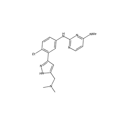 CCc1ccc(Nc2nccc(NC)n2)cc1-c1cc(CN(C)C)[nH]n1